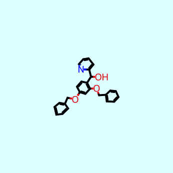 OC(c1ccccn1)c1ccc(OCc2ccccc2)cc1OCc1ccccc1